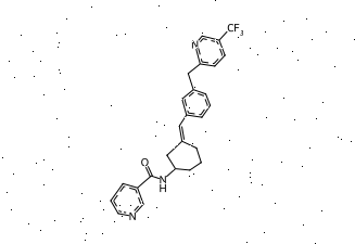 O=C(NC1CCC/C(=C\c2cccc(Cc3ccc(C(F)(F)F)cn3)c2)C1)c1cccnc1